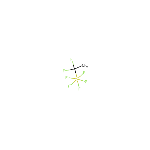 FC(F)(F)C(F)(F)S(F)(F)(F)(F)F